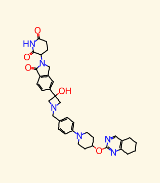 O=C1CCC(N2Cc3cc(C4(O)CN(Cc5ccc(N6CCC(Oc7ncc8c(n7)CCCC8)CC6)cc5)C4)ccc3C2=O)C(=O)N1